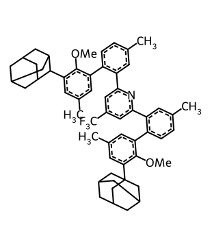 COc1c(-c2ccc(C)cc2-c2cc(C(F)(F)F)cc(-c3cc(C)ccc3-c3cc(C)cc(C45CC6CC(CC(C6)C4)C5)c3OC)n2)cc(C)cc1C1C2CC3CC(C2)CC1C3